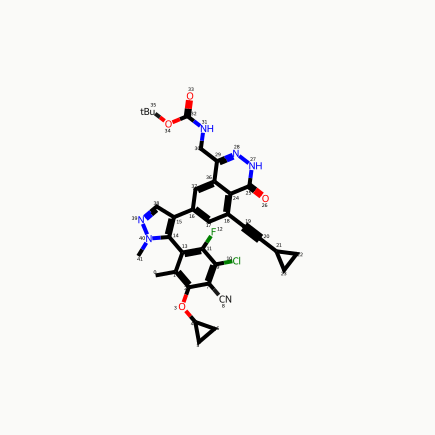 Cc1c(OC2CC2)c(C#N)c(Cl)c(F)c1-c1c(-c2cc(C#CC3CC3)c3c(=O)[nH]nc(CNC(=O)OC(C)(C)C)c3c2)cnn1C